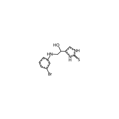 OC(CNc1cccc(Br)c1)c1c[nH]c(=S)[nH]1